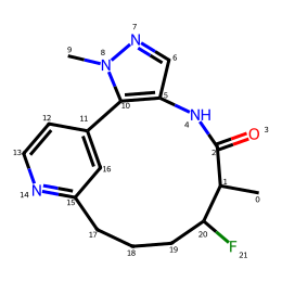 CC1C(=O)Nc2cnn(C)c2-c2ccnc(c2)CCCC1F